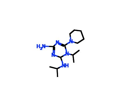 CC(C)NC1N=C(N)N=C(N2CCCCC2)N1C(C)C